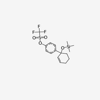 C[Si](C)(C)OC1(c2ccc(OS(=O)(=O)C(F)(F)F)cc2)C=CCCC1